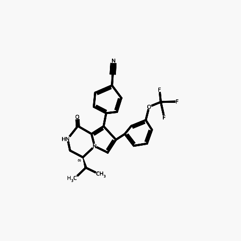 CC(C)[C@H]1CNC(=O)c2c(-c3ccc(C#N)cc3)c(-c3cccc(OC(F)(F)F)c3)cn21